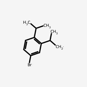 [CH2]C(C)c1cc(Br)ccc1C(C)C